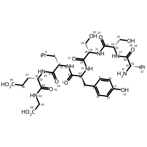 CC(C)C[C@H](NC(=O)[C@H](Cc1ccc(O)cc1)NC(=O)[C@H](CO)NC(=O)[C@H](CO)NC(=O)[C@@H](N)C(C)C)C(=O)N[C@@H](CCC(=O)O)C(=O)NCC(=O)O